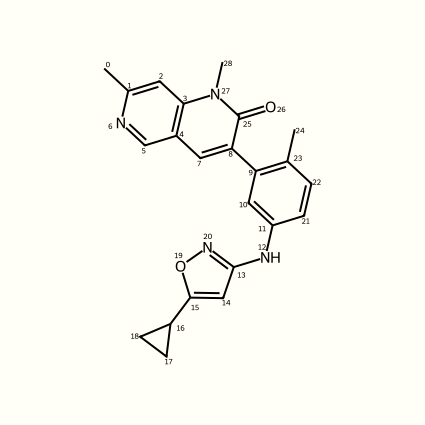 Cc1cc2c(cn1)cc(-c1cc(Nc3cc(C4CC4)on3)ccc1C)c(=O)n2C